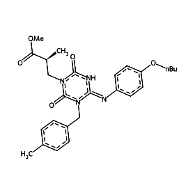 CCCCOc1ccc(/N=c2\[nH]c(=O)n(C[C@H](C)C(=O)OC)c(=O)n2Cc2ccc(C)cc2)cc1